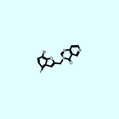 O=c1c2cnccc2ncn1Cc1cc2c(F)ccc(Br)c2o1